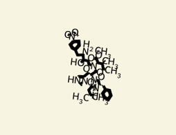 CC[C@H](C)[C@@H](C(=O)OC)N(C(=O)CC(O)[C@@H](N)Cc1ccc([N+](=O)[O-])cc1)C(=O)[C@H](Cc1c[nH]cn1)NC(=O)[C@H](Cc1ccccc1)NC(=O)CC(C)C